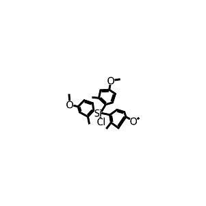 COc1ccc([Si](Cl)(c2ccc(OC)cc2C)c2ccc(OC)cc2C)c(C)c1